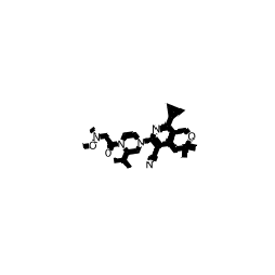 CON(C)CC(=O)N1CCN(c2nc(C3CC3)c3c(c2C#N)CC(C)(C)OC3)CC1C(C)C